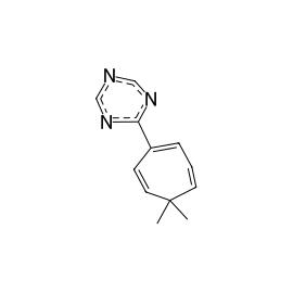 CC1(C)C=CC=C(c2ncncn2)C=C1